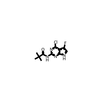 CC(C)(C)C(=O)Nc1nc(Cl)c2c(F)c[nH]c2n1